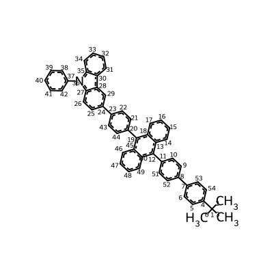 CC(C)(C)c1ccc(-c2ccc(-c3c4ccccc4c(-c4ccc(-c5ccc6c(c5)c5ccccc5n6-c5ccccc5)cc4)c4ccccc34)cc2)cc1